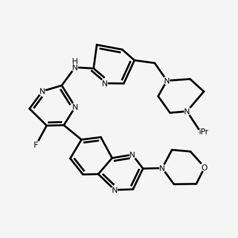 CC(C)N1CCN(Cc2ccc(Nc3ncc(F)c(-c4ccc5ncc(N6CCOCC6)nc5c4)n3)nc2)CC1